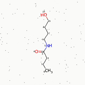 CCCC(=O)NCCCCO